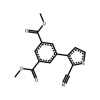 COC(=O)c1cc(C(=O)OC)cc(-c2ccsc2C#N)c1